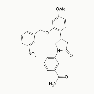 COc1ccc(C2CC(=O)N(c3cccc(C(N)=O)c3)C2)c(OCc2cccc([N+](=O)[O-])c2)c1